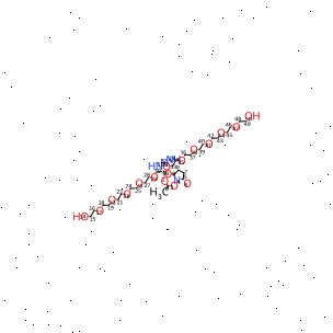 CC(=O)ON1C(=O)CCC1=O.N=[N+]=N.OCCOCCOCCOCCOCCOCCOCCOCCOCCOCCOCCOCCO